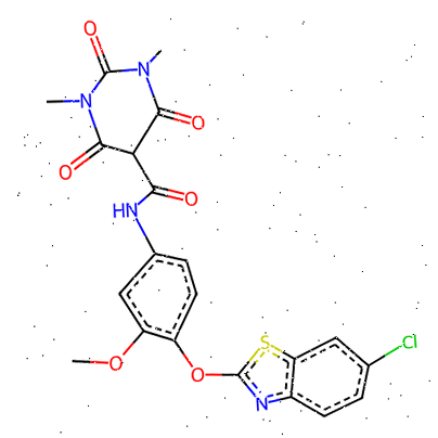 COc1cc(NC(=O)C2C(=O)N(C)C(=O)N(C)C2=O)ccc1Oc1nc2ccc(Cl)cc2s1